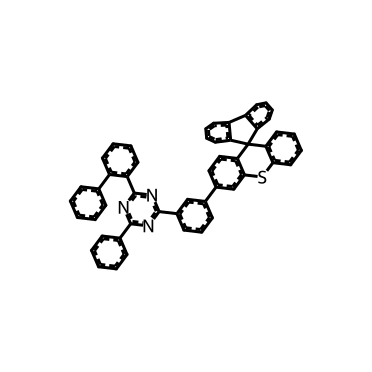 c1ccc(-c2nc(-c3cccc(-c4ccc5c(c4)Sc4ccccc4C54c5ccccc5-c5ccccc54)c3)nc(-c3ccccc3-c3ccccc3)n2)cc1